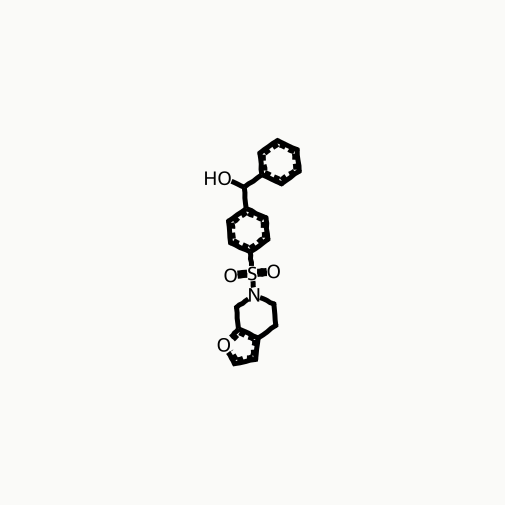 O=S(=O)(c1ccc(C(O)c2ccccc2)cc1)N1CCc2ccoc2C1